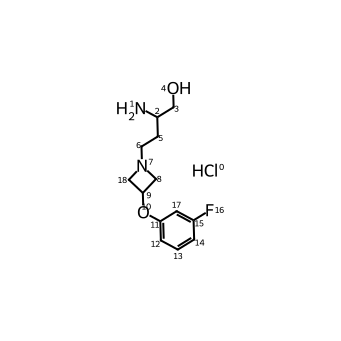 Cl.NC(CO)CCN1CC(Oc2cccc(F)c2)C1